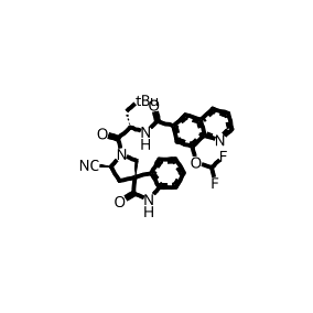 CC(C)(C)C[C@H](NC(=O)c1cc(OC(F)F)c2ncccc2c1)C(=O)N1C[C@]2(C[C@H]1C#N)C(=O)Nc1ccccc12